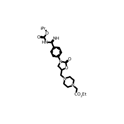 CCOC(=O)CN1CCN(CC2CN(c3ccc(C(=N)NC(=O)OC(C)C)cc3)C(=O)O2)CC1